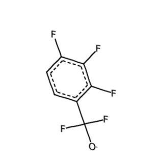 [O]C(F)(F)c1ccc(F)c(F)c1F